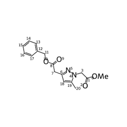 COC(=O)Cn1nc(CC(=O)OCc2ccccc2)cc1C